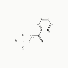 O=C(NCC(Cl)(Cl)Cl)c1ccccn1